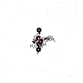 CC(C(c1ccccc1)n1ccnc1-c1nn(COCC[Si](C)(C)C)cc(OCc2ccccc2)c1=O)C(c1ccc(F)cc1)S(=O)(=O)O